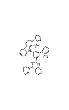 CC1(C)c2ccccc2-c2ccc3c4ccccc4n(-c4cc(-c5nc(-c6ccccc6)c6ccccc6n5)cc(-c5ccccc5C#N)c4)c3c21